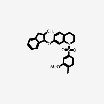 COc1cc(S(=O)(=O)N2CCCc3ccc(OC4c5ccccc5CC4C)cc32)ccc1F